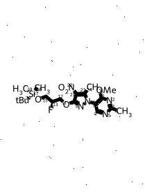 COc1nc(C)ncc1-n1nc(OC[C@@H](F)CO[Si](C)(C)C(C)(C)C)c([N+](=O)[O-])c1C